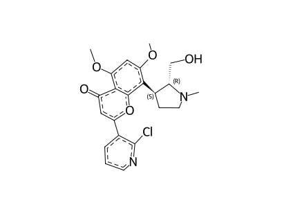 COc1cc(OC)c2c(=O)cc(-c3cccnc3Cl)oc2c1[C@@H]1CCN(C)[C@H]1CO